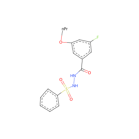 CCCOc1cc(F)cc(C(=O)NNS(=O)(=O)c2ccccc2)c1